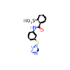 O=C(Nc1cccc(Sn2cnnn2)c1)c1ccccc1S(=O)(=O)O